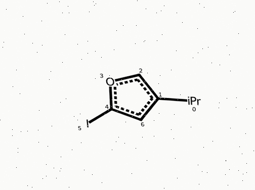 CC(C)c1coc(I)c1